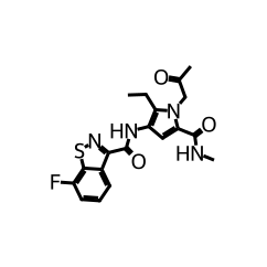 CCc1c(NC(=O)c2nsc3c(F)cccc23)cc(C(=O)NC)n1CC(C)=O